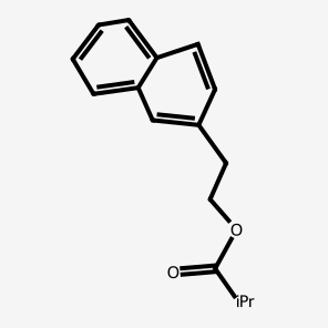 CC(C)C(=O)OCCc1ccc2ccccc2c1